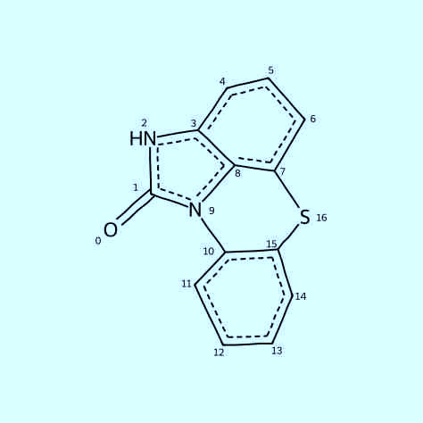 O=c1[nH]c2cccc3c2n1-c1ccccc1S3